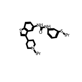 CC(C)Sc1cccc(NC(=O)Nc2ccc3scc(C4CCN(C(C)C)CC4)c3c2)c1